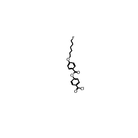 O=C(Cl)c1ccc(OC(=O)c2ccc(OCCCCCCF)cc2)cc1